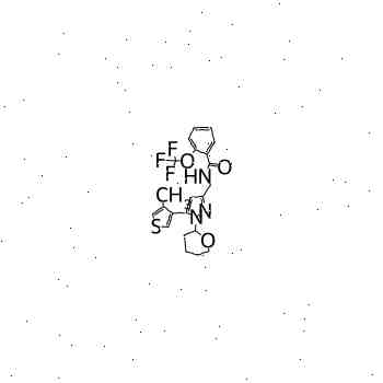 Cc1cscc1-c1cc(CNC(=O)c2ccccc2OC(F)(F)F)nn1C1CCCCO1